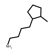 CC1CCCC1CCCCN